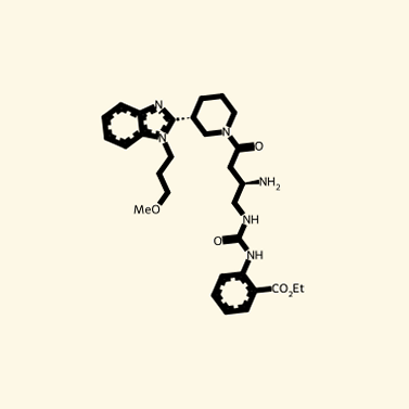 CCOC(=O)c1ccccc1NC(=O)NC[C@H](N)CC(=O)N1CCC[C@@H](c2nc3ccccc3n2CCCOC)C1